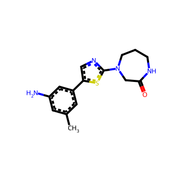 Cc1cc(N)cc(-c2cnc(N3CCCNC(=O)C3)s2)c1